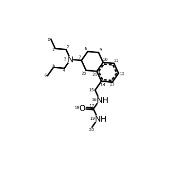 CCCN(CCC)C1CCc2cccc(CNC(=O)NC)c2C1